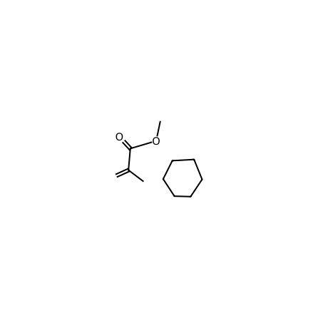 C1CCCCC1.C=C(C)C(=O)OC